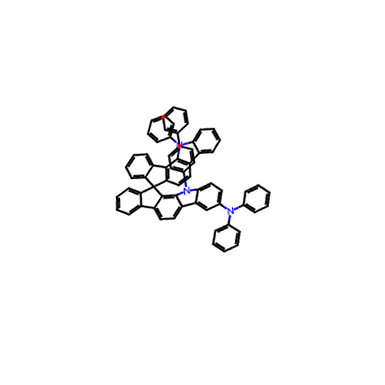 c1ccc(-c2ccc(-n3c4ccc(N(c5ccccc5)c5ccccc5)cc4c4ccc5c(c43)C3(c4ccccc4-5)c4ccccc4-c4c3ccc3c5ccccc5n(-c5ccccc5)c43)cc2)cc1